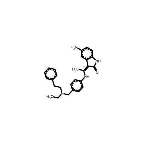 CCN(CCc1ccccc1)Cc1ccc(N/C(C)=C2\C(=O)Nc3ccc(N)cc32)cc1